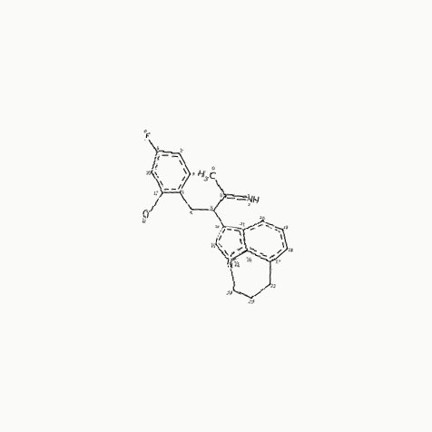 CC(=N)C(Cc1ccc(F)cc1Cl)c1cn2c3c(cccc13)CCC2